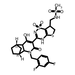 CS(=O)(=O)NCC1CSC2=C1S(=O)(=O)N=C(C1=C(O)C3C([C@@H]4CC[C@H]3C4)N(Cc3ccc(F)cc3F)C1=O)N2